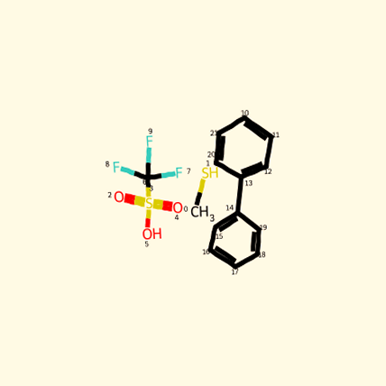 CS.O=S(=O)(O)C(F)(F)F.c1ccc(-c2ccccc2)cc1